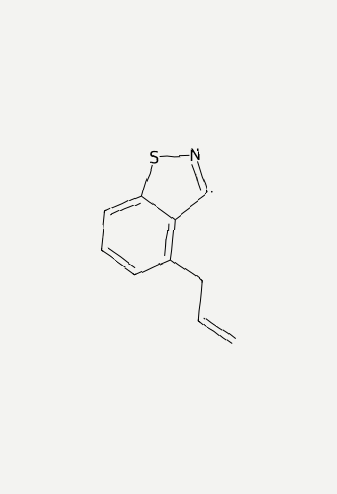 C=CCc1cccc2sn[c]c12